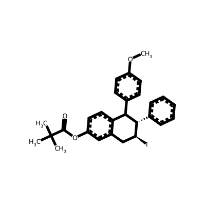 COc1ccc(C2c3ccc(OC(=O)C(C)(C)C)cc3C[C@H](I)[C@H]2c2ccccc2)cc1